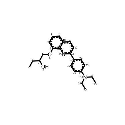 CCC(O)COc1cccc2ccc(-c3ccc(N(CC)CC)cc3)nc12